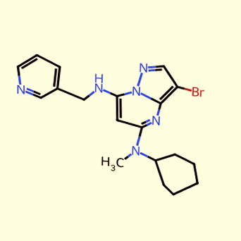 CN(c1cc(NCc2cccnc2)n2ncc(Br)c2n1)C1CCCCC1